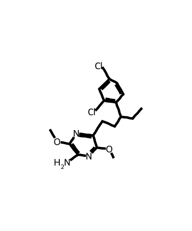 CCC(CCc1nc(OC)c(N)nc1OC)c1ccc(Cl)cc1Cl